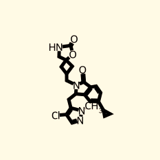 Cn1ncc(Cl)c1CC1c2cc(C3CC3)ccc2C(=O)N1CC1CC2(CNC(=O)O2)C1